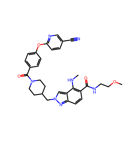 CNc1c(C(=O)NCCOC)ccc2nn(CC3CCN(C(=O)c4ccc(Oc5ccc(C#N)cn5)cc4)CC3)cc12